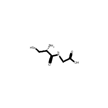 N[C@@H](C[SeH])C(=O)NCC(=O)O